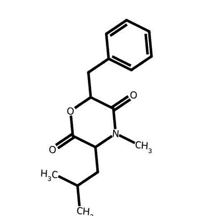 CC(C)CC1C(=O)OC(Cc2ccccc2)C(=O)N1C